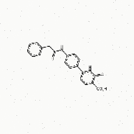 O=C(Cc1ccccc1)Nc1ccc(-c2ccc(C(=O)O)c(=O)[nH]2)cc1